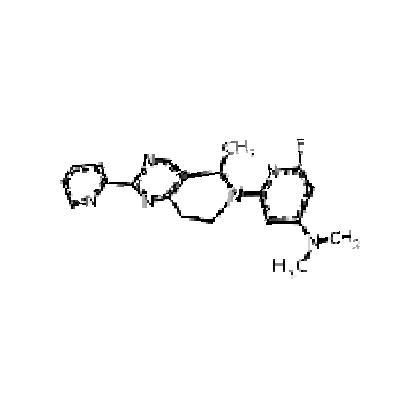 CC1c2cnc(-c3ccccn3)nc2CCN1c1cc(N(C)C)cc(F)n1